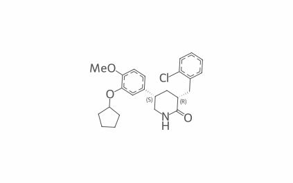 COc1ccc([C@H]2CNC(=O)[C@@H](Cc3ccccc3Cl)C2)cc1OC1CCCC1